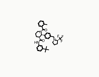 Cc1ccccc1C(=O)N1CCC[C@H](C(=O)Nc2cccc(C(C)(C)C)c2)[C@@H]1c1ccc(CN2CCC[C@@H]2C(F)(F)F)cc1